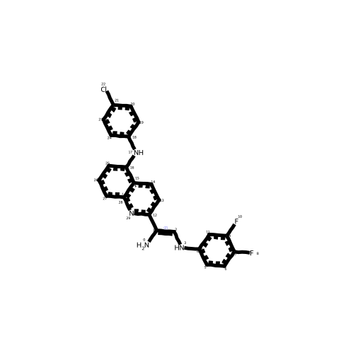 N/C(=C\Nc1ccc(F)c(F)c1)c1ccc2c(Nc3ccc(Cl)cc3)cccc2n1